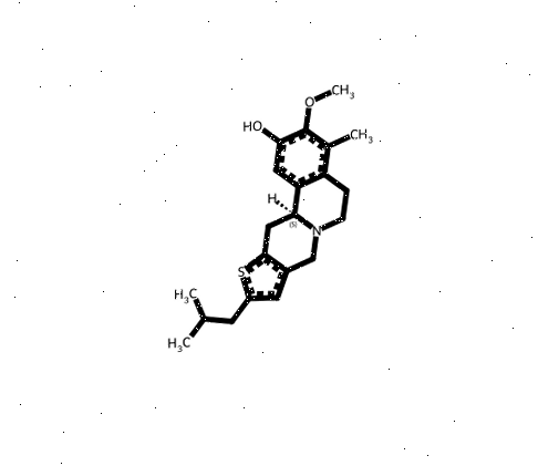 COc1c(O)cc2c(c1C)CCN1Cc3cc(CC(C)C)sc3C[C@@H]21